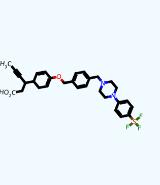 CC#CC(CC(=O)O)C1C=CC(OCc2ccc(CN3CCN(c4ccc(S(F)(F)F)cc4)CC3)cc2)=CC1